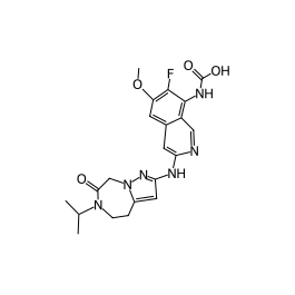 COc1cc2cc(Nc3cc4n(n3)CC(=O)N(C(C)C)CC4)ncc2c(NC(=O)O)c1F